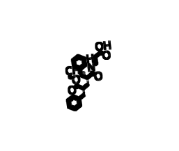 CCOC(=O)[C@@H](Cc1ccccc1)C[C@H](Cc1ccccc1)C(=O)NCCC(=O)O